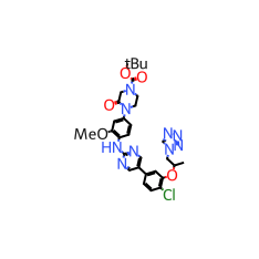 COc1cc(N2CCN(C(=O)OC(C)(C)C)CC2=O)ccc1Nc1ncc(-c2ccc(Cl)c(OC(C)Cn3cnnn3)c2)cn1